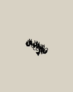 Cn1c(Nc2cc(C3CC3)nn([C@@H]3CCCOC3)c2=O)nc2ncc(Oc3cnn4ccccc34)c(Cl)c21